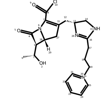 C[C@@H](O)[C@H]1C(=O)N2C(C(=O)Cl)=C(C[C@@H]3CNC(CCC[n+]4ccccc4)=N3)C[C@H]12